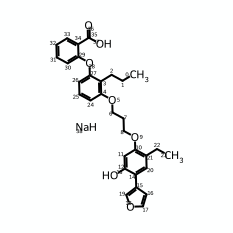 CCCc1c(OCCCOc2cc(O)c(-c3ccoc3)cc2CC)cccc1Oc1ccccc1C(=O)O.[NaH]